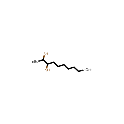 CCCCCCCCCCCCCCC(S)C(S)CCCC